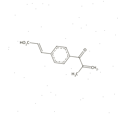 C=C(C)C(=O)c1ccc(C=CC(=O)O)cc1